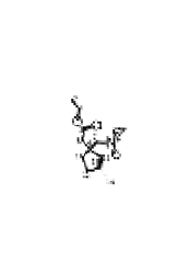 CCOC(=O)C[C@]1(C[N+](=O)[O-])CC[C@@H](C)C1